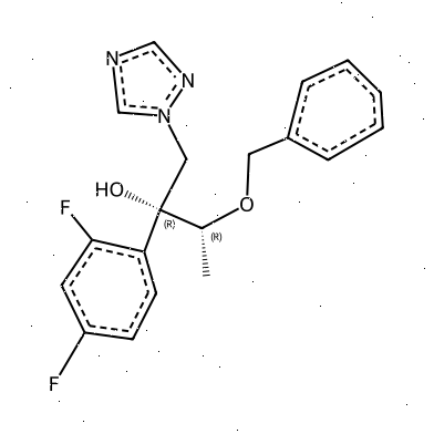 C[C@@H](OCc1ccccc1)[C@](O)(Cn1cncn1)c1ccc(F)cc1F